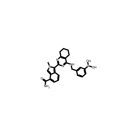 Cn1cc2c(C(N)=O)cccc2c1-c1nc2c(c(NCc3cccc(B(O)O)c3)n1)CCCC2